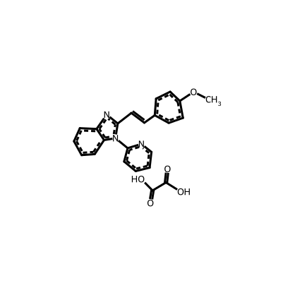 COc1ccc(C=Cc2nc3ccccc3n2-c2ccccn2)cc1.O=C(O)C(=O)O